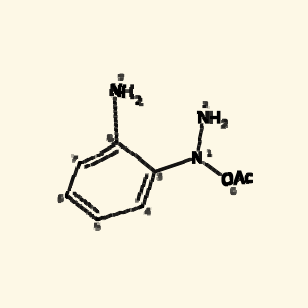 CC(=O)ON(N)c1ccccc1N